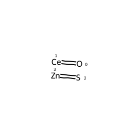 [O]=[Ce].[S]=[Zn]